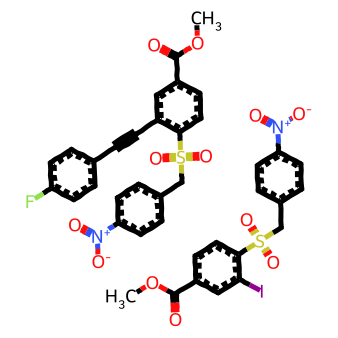 COC(=O)c1ccc(S(=O)(=O)Cc2ccc([N+](=O)[O-])cc2)c(C#Cc2ccc(F)cc2)c1.COC(=O)c1ccc(S(=O)(=O)Cc2ccc([N+](=O)[O-])cc2)c(I)c1